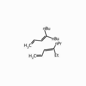 C=C/C=C(\CC)CCC.C=CC=C(CCCC)CCCC